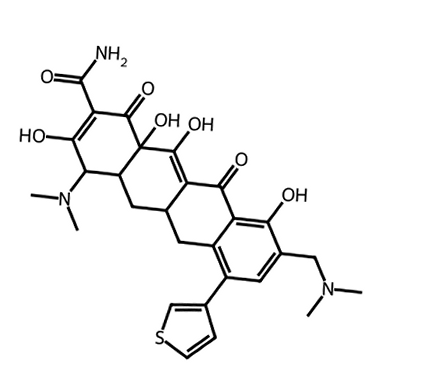 CN(C)Cc1cc(-c2ccsc2)c2c(c1O)C(=O)C1=C(O)C3(O)C(=O)C(C(N)=O)=C(O)C(N(C)C)C3CC1C2